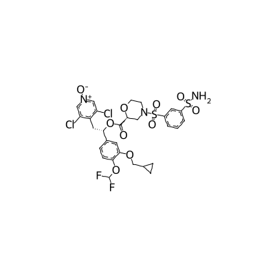 NS(=O)(=O)c1cccc(S(=O)(=O)N2CCO[C@H](C(=O)O[C@@H](Cc3c(Cl)c[n+]([O-])cc3Cl)c3ccc(OC(F)F)c(OCC4CC4)c3)C2)c1